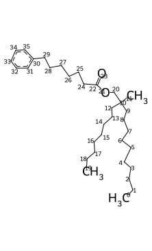 CCCCCCCCCCC(C)(CCCCCCCC)COC(=O)CCCCCCc1ccccc1